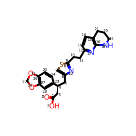 O=C(O)C[C@H](Cc1csc(CCc2ccc3c(n2)NCCC3)n1)c1ccc2c(c1)OCO2